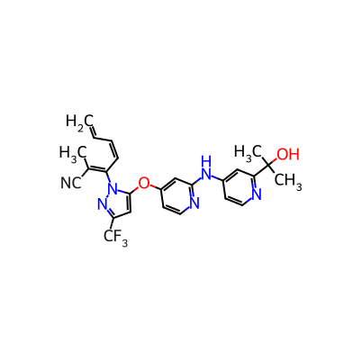 C=C/C=C\C(=C(/C)C#N)n1nc(C(F)(F)F)cc1Oc1ccnc(Nc2ccnc(C(C)(C)O)c2)c1